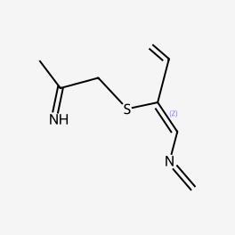 C=C/C(=C/N=C)SCC(C)=N